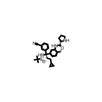 CC(C)(C)[S@@+]([O-])N[C@](CCC1CC1)(c1cccc(C#N)c1)c1ccc(F)c(NC(=O)[C@H]2CCCN2)c1